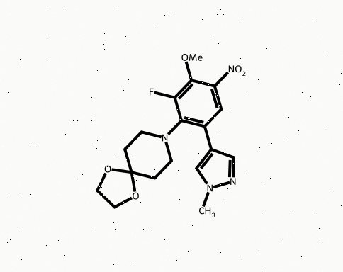 COc1c([N+](=O)[O-])cc(-c2cnn(C)c2)c(N2CCC3(CC2)OCCO3)c1F